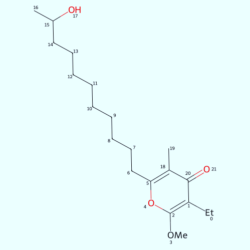 CCc1c(OC)oc(CCCCCCCCCC(C)O)c(C)c1=O